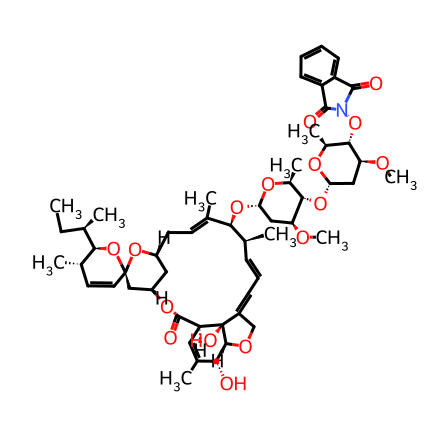 CC[C@@H](C)[C@H]1O[C@]2(C=C[C@@H]1C)C[C@@H]1C[C@@H](C/C=C(\C)[C@@H](O[C@H]3C[C@H](OC)[C@@H](O[C@H]4C[C@H](OC)[C@@H](ON5C(=O)c6ccccc6C5=O)[C@H](C)O4)[C@H](C)O3)[C@@H](C)/C=C/C=C3\CO[C@@H]4[C@H](O)C(C)=C[C@@H](C(=O)O1)[C@]34O)O2